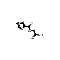 NC(=O)COC(=O)c1c[nH]cn1